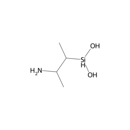 CC(N)C(C)[SiH](O)O